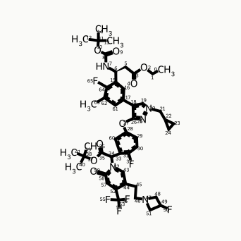 CCOC(=O)C[C@H](NC(=O)OC(C)(C)C)c1cc(-c2cn(CC3CC3)nc2Oc2ccc(F)c(C(C(=O)OC(C)(C)C)n3cc(CCN4CC(F)C4)c(C(F)(F)F)cc3=O)c2)cc(C)c1F